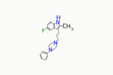 Cc1[nH]c2ccc(F)cc2c1CCCN1CCN(c2ccccc2)CC1